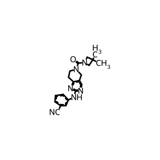 CC1(C)CN(C(=O)N2CCc3nc(Nc4cccc(C#N)c4)ncc3C2)C1